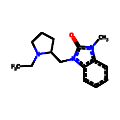 Cn1c(=O)n(CC2CCCN2CC(F)(F)F)c2ccccc21